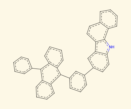 c1ccc(-c2c3ccccc3c(-c3cccc(-c4ccc5[nH]c6c7ccccc7ccc6c5c4)c3)c3ccccc23)cc1